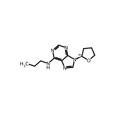 CCCNc1ncnc2c1ncn2[C@H]1CCCO1